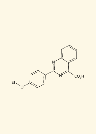 CCOc1ccc(-c2nc(C(=O)O)c3ccccc3n2)cc1